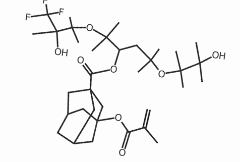 C=C(C)C(=O)OC12CC3CC(C1)CC(C(=O)OC(CC(C)(C)OC(C)(C)C(C)(C)O)C(C)(C)OC(C)(C)C(C)(O)C(F)(F)F)(C3)C2